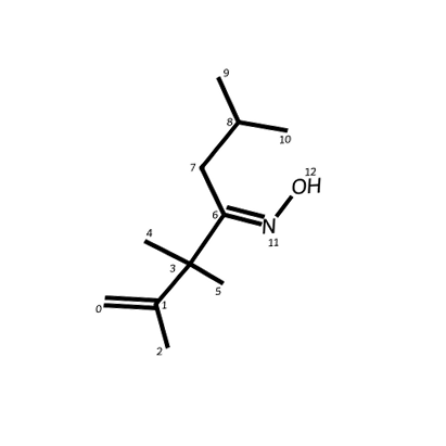 C=C(C)C(C)(C)C(CC(C)C)=NO